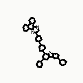 c1ccc(-c2ccc3sc4c(-c5ccc(-c6ccc(-c7cnc8c9ccccc9c9ccccc9c8n7)cc6)cc5)cc(-c5ccccc5)cc4c3c2)cc1